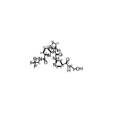 O=C(NCCO)c1ccnc(NC(=O)N2c3nc(C(=O)NCC(F)(F)F)ccc3N3CC[C@H]2C3)c1